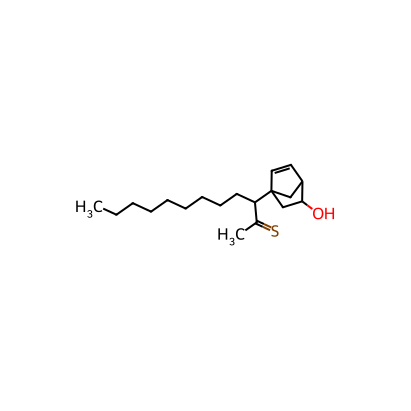 CCCCCCCCCC(C(C)=S)C12C=CC(C1)C(O)C2